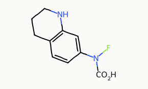 O=C(O)N(F)c1ccc2c(c1)NCCC2